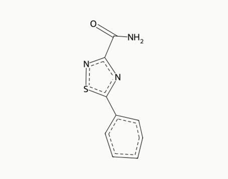 NC(=O)c1nsc(-c2ccccc2)n1